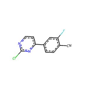 N#Cc1ccc(-c2ccnc(Cl)n2)cc1F